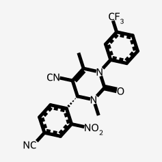 [C-]#[N+]C1=C(C)N(c2cccc(C(F)(F)F)c2)C(=O)N(C)[C@@H]1c1ccc(C#N)cc1[N+](=O)[O-]